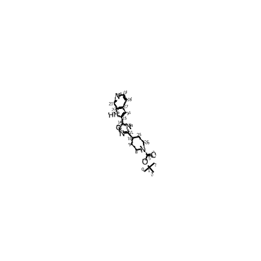 CC(C)(C)OC(=O)N1CCC(c2noc(-c3cc4ccncc4[nH]3)n2)CC1